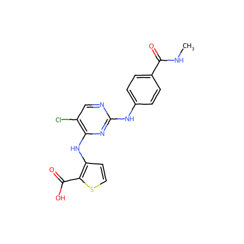 CNC(=O)c1ccc(Nc2ncc(Cl)c(Nc3ccsc3C(=O)O)n2)cc1